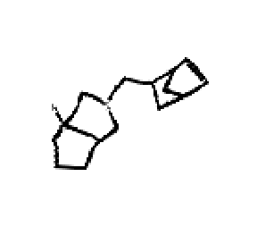 C1=CC2CC1CC2CN1CC2CCC[C@@H]2C1